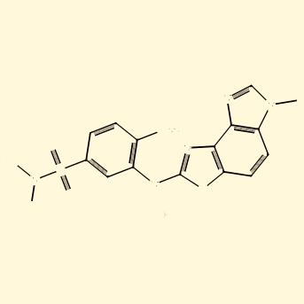 CCN(CC)S(=O)(=O)c1ccc(OC)c(Nc2nc3c(ccc4c3ncn4C)s2)c1.Cl